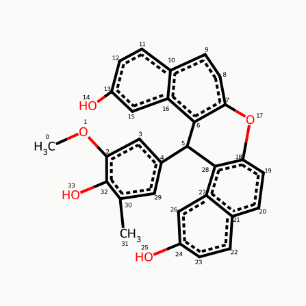 COc1cc(C2c3c(ccc4ccc(O)cc34)Oc3ccc4ccc(O)cc4c32)cc(C)c1O